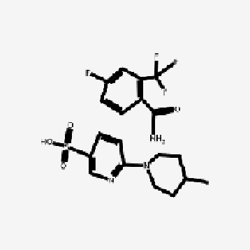 CC1CCN(c2ccc(S(=O)(=O)O)cn2)CC1.NC(=O)c1ccc(F)cc1C(F)(F)F